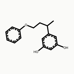 CC(CCOc1ccccc1)c1cc(O)cc(O)c1